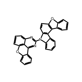 c1ccc2c(c1)Oc1cccc3nc(-n4c5ccccc5c5c6c(ccc54)oc4ccccc46)nc-2c13